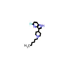 CCCCCCN1CCC(c2c[nH]c3ccc(F)nc23)CC1